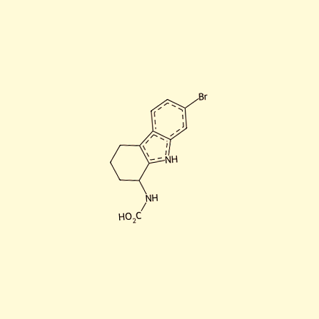 O=C(O)NC1CCCc2c1[nH]c1cc(Br)ccc21